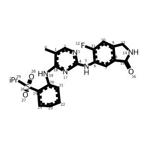 Cc1cnc(Nc2cc3c(cc2F)CNC3=O)nc1Nc1ccccc1S(=O)(=O)C(C)C